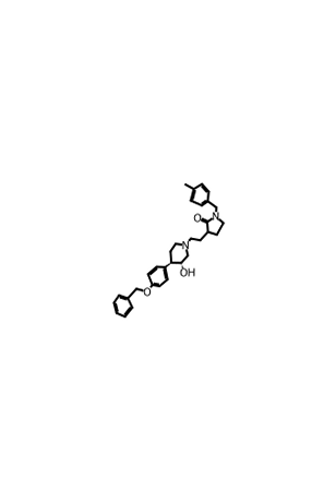 Cc1ccc(CN2CCC(CCN3CC[C@H](c4ccc(OCc5ccccc5)cc4)[C@@H](O)C3)C2=O)cc1